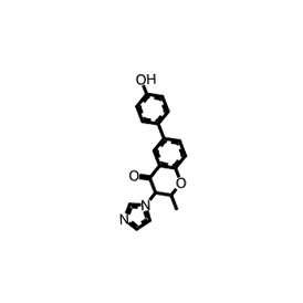 CC1Oc2ccc(-c3ccc(O)cc3)cc2C(=O)C1n1ccnc1